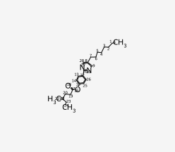 CCCCCCCCc1cnc(-c2ccc(OC(=O)CC[C@@H](C)CC)cc2)nc1